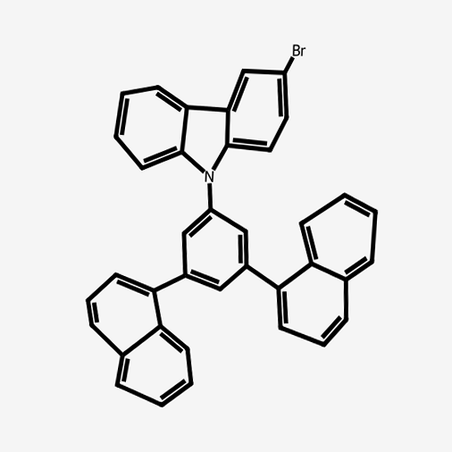 Brc1ccc2c(c1)c1ccccc1n2-c1cc(-c2cccc3ccccc23)cc(-c2cccc3ccccc23)c1